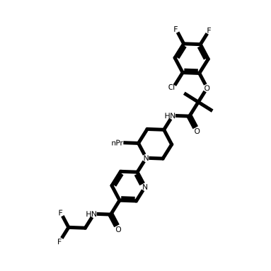 CCCC1CC(NC(=O)C(C)(C)Oc2cc(F)c(F)cc2Cl)CCN1c1ccc(C(=O)NCC(F)F)cn1